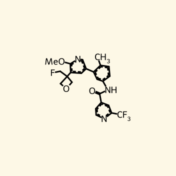 COc1ncc(-c2cc(NC(=O)c3ccnc(C(F)(F)F)c3)ccc2C)cc1C1(CF)COC1